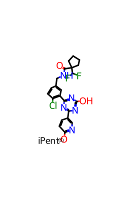 CCC[C@H](C)Oc1ccc(-c2nc(O)nc(-c3cc(CNC(=O)C4(C(F)F)CCCC4)ccc3Cl)n2)cn1